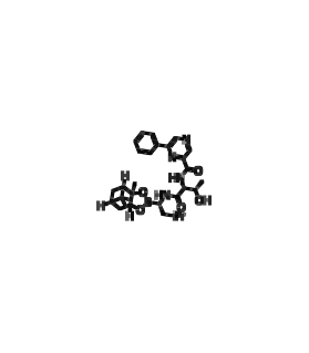 CC(C)C[C@H](NC(=O)[C@@H](NC(=O)c1cncc(-c2ccccc2)n1)[C@@H](C)O)B1O[C@@H]2C[C@@H]3C[C@@H](C3(C)C)[C@]2(C)O1